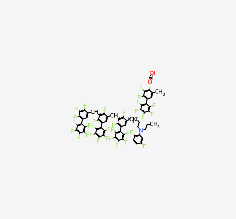 CCCN(CCC)c1cc(F)ccc1F.Cc1cc(-c2c(F)c(F)c(F)c(F)c2F)c(F)c(F)c1F.Cc1cc(-c2c(F)c(F)c(F)c(F)c2F)c(F)c(F)c1F.Cc1cc(-c2c(F)c(F)c(F)c(F)c2F)c(F)c(F)c1F.Cc1cc(-c2c(F)c(F)c(F)c(F)c2F)c(F)c(F)c1F.[O]=[Al][OH]